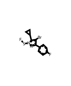 FSn1nc(-c2ccc(F)cc2)c(Br)c1C1CC1